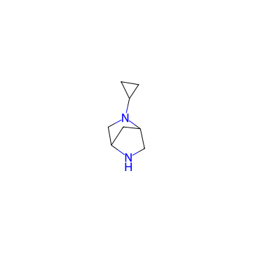 C1CC1N1CC2CC1CN2